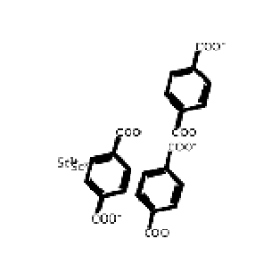 O=C([O-])c1ccc(C(=O)[O-])cc1.O=C([O-])c1ccc(C(=O)[O-])cc1.O=C([O-])c1ccc(C(=O)[O-])cc1.[Sc+3].[Sc+3]